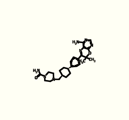 CC1(C)Oc2ncnc(N)c2N=C1c1ccc([C@H]2CC[C@H](CN3CCN(C(N)=O)CC3)CC2)cc1